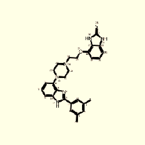 Cc1cc(C)cc(-c2nc3c(N4CCN(CCOc5cccc6[nH]c(=S)[nH]c56)CC4)cccc3[nH]2)c1